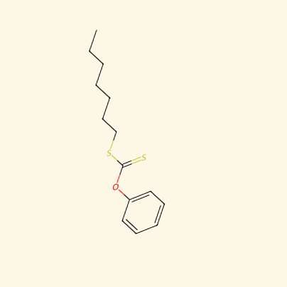 CCCCCCCSC(=S)Oc1ccccc1